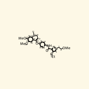 CCOc1cn(CCOC)nc1C(=O)Nc1ccc(OC2=CCN(C)c3cc(OC)c(OC)cc32)cn1